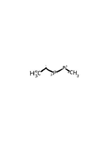 CC[P][P]C